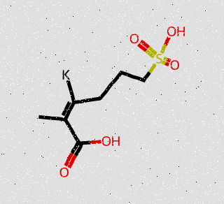 CC(C(=O)O)=[C]([K])CCCS(=O)(=O)O